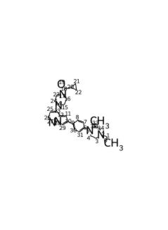 CCN1CCN(c2ccc(-c3cc4c(N5CCN(C(=O)C6CC6)CC5)ccnn4c3)cc2)[C@@H](C)C1